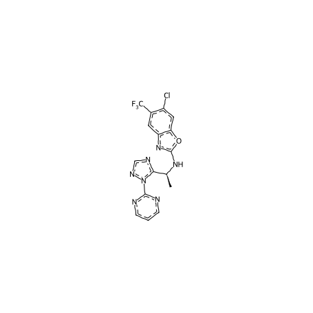 C[C@H](Nc1nc2cc(C(F)(F)F)c(Cl)cc2o1)c1ncnn1-c1ncccn1